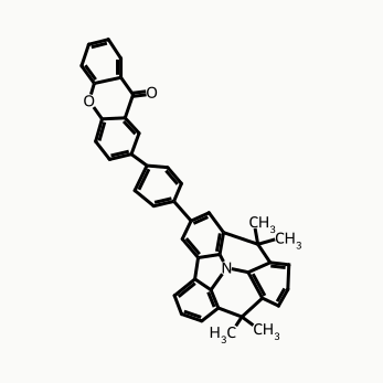 CC1(C)c2cccc3c2-n2c4c1cccc4c1cc(-c4ccc(-c5ccc6oc7ccccc7c(=O)c6c5)cc4)cc(c12)C3(C)C